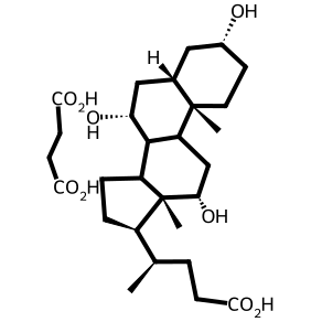 C[C@H](CCC(=O)O)[C@H]1CCC2C3C(C[C@H](O)[C@@]21C)[C@@]1(C)CC[C@@H](O)C[C@H]1C[C@H]3O.O=C(O)CCC(=O)O